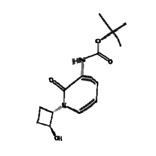 CC(C)(C)OC(=O)Nc1cccn([C@H]2CC[C@@H]2O)c1=O